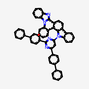 c1ccc(-c2ccc(-c3cc(-n4c5ccccc5c5ccc6c(c7ccccc7n7c8ccccc8nc67)c54)nc(-c4ccc(-c5ccccc5)cc4)n3)cc2)cc1